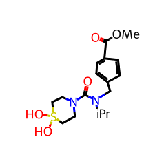 COC(=O)c1ccc(CN(C(=O)N2CCS(O)(O)CC2)C(C)C)cc1